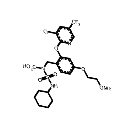 COCCOc1ccc(CN(C(=O)O)S(=O)(=O)NC2CCCCC2)c(Oc2ncc(C(F)(F)F)cc2Cl)c1